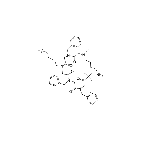 CN(CCCCN)CC(=O)N(CC(=O)N(CCCCN)CC(=O)N(CC(=O)N(CC(=O)C(C)(C)C)Cc1ccccc1)Cc1ccccc1)Cc1ccccc1